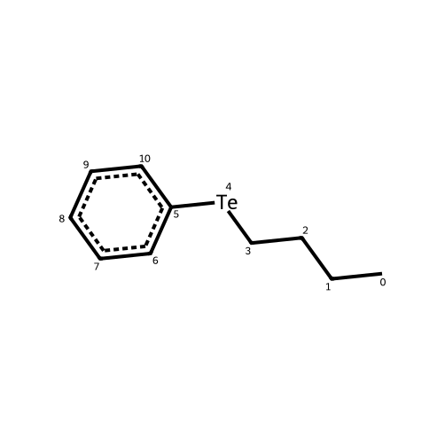 CCCC[Te]c1ccccc1